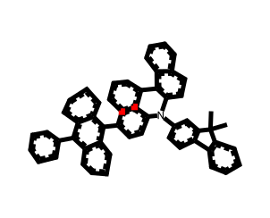 CC1(C)c2ccccc2-c2ccc(N(c3ccc(-c4c5ccccc5c(-c5ccccc5)c5ccccc45)cc3)c3ccc4ccccc4c3-c3ccccc3)cc21